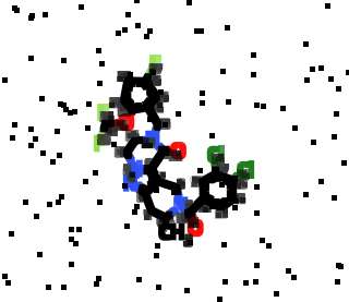 C[C@@H]1Cc2nn3c(c2CN1C(=O)c1ccc(Cl)c(Cl)c1)C(=O)N(Cc1cc(F)ccc1OC(F)F)CC3